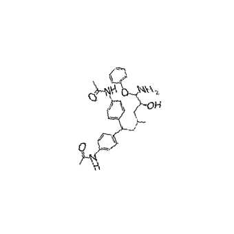 CC(=O)Nc1ccc(C(CC(C)C[C@H](O)C(N)Oc2ccccc2)c2ccc(NC(C)=O)cc2)cc1